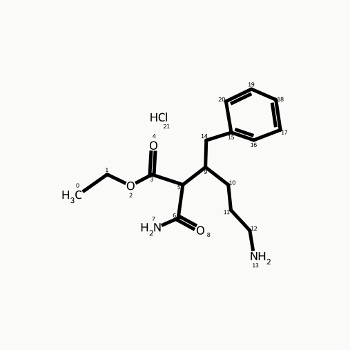 CCOC(=O)C(C(N)=O)C(CCCN)Cc1ccccc1.Cl